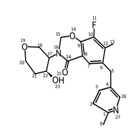 Cc1ccc(Cc2cc3c(c(F)c2C)OCN(C2COCC[C@@H]2O)C3=O)cn1